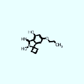 CCCOc1cc(O)c2c(c1)C1(CCC1)N(O)C2=N